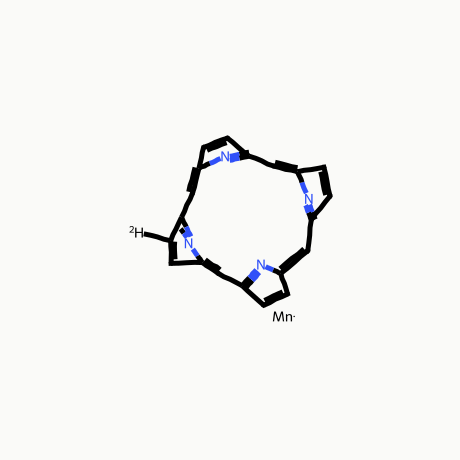 [2H]C1=CC2=CC3=NC(=CC4=NC(=CC5=NC(=CC1=N2)C=C5)C=C4)C=C3.[Mn]